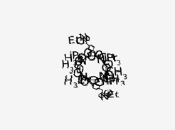 CCOc1ncccc1Cc1ccc(CC2OC(=O)C(CC(C)C)N(C)C(=O)C(C)OC(=O)C(CC(C)C)N(C)C(=O)C(Cc3ccc(Cc4cccnc4OCC)cc3)OC(=O)C(CC(C)C)N(C)C(=O)C(C)OC(=O)C(CC(C)C)N(C)C2=O)cc1